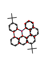 CC(C)(C)c1ccc(-c2ccccc2N(c2cc(C(C)(C)C)ccc2-c2ccccc2)c2ccccc2-c2cccc3cccc(C4CCCCC4)c23)cc1